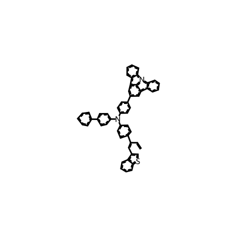 C=C/C(=C\c1csc2ccccc12)c1ccc(N(c2ccc(-c3ccccc3)cc2)c2ccc(-c3cc4c5ccccc5n5c6ccccc6c(c3)c45)cc2)cc1